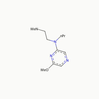 CCCN(CCNC)c1cncc(OC)n1